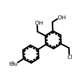 CC(C)(C)c1ccc(-c2cc(CCl)cc(CO)c2CO)cc1